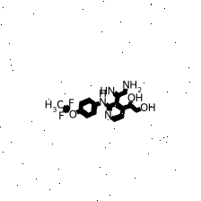 CC(F)(F)Oc1ccc(Nc2nccc(C(O)CO)c2C(=N)CN)cc1